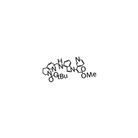 COC(=O)C=C(c1cccnc1)n1ccc2c(NCc3ccc4c(n3)N(C(=O)OC(C)(C)C)CCC4)cccc21